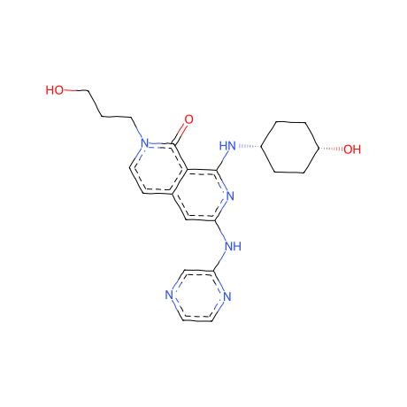 O=c1c2c(N[C@H]3CC[C@@H](O)CC3)nc(Nc3cnccn3)cc2ccn1CCCO